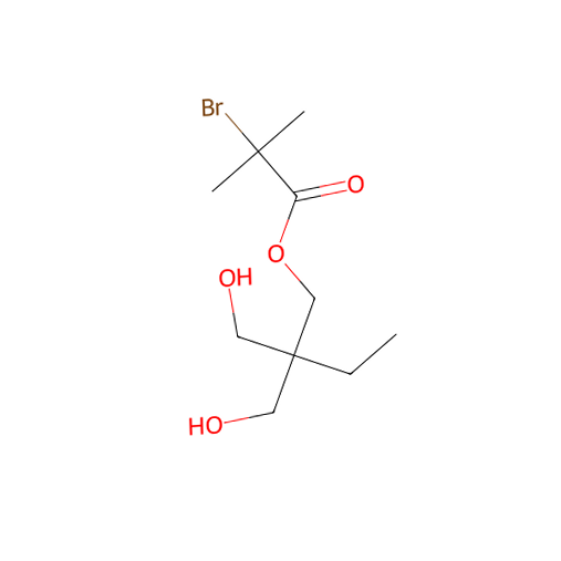 CCC(CO)(CO)COC(=O)C(C)(C)Br